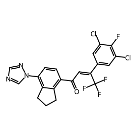 O=C(C=C(c1cc(Cl)c(F)c(Cl)c1)C(F)(F)F)c1ccc(-n2cncn2)c2c1CCC2